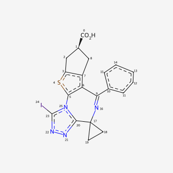 O=C(O)[C@@H]1Cc2sc3c(c2C1)C(c1ccccc1)=NC1(CC1)c1nnc(I)n1-3